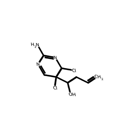 C=CCC(O)C1(Cl)C=NC(N)=NC1Cl